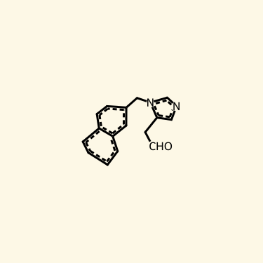 O=CCc1cncn1Cc1ccc2ccccc2c1